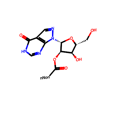 CCCCCCCCCC(=O)O[C@@H]1[C@H](O)[C@@H](CO)O[C@H]1n1ncc2c(=O)[nH]cnc21